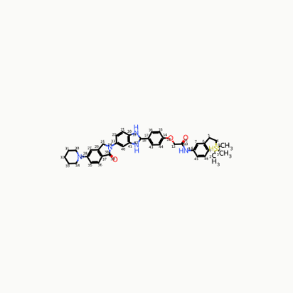 C[SH]1(C)(C)CCc2cc(NC(=O)COc3ccc(C4Nc5ccc(N6Cc7cc(N8CCCCC8)ccc7C6=O)cc5N4)cc3)ccc21